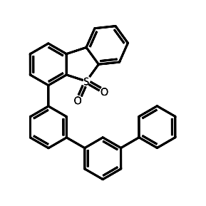 O=S1(=O)c2ccccc2-c2cccc(-c3cccc(-c4cccc(-c5ccccc5)c4)c3)c21